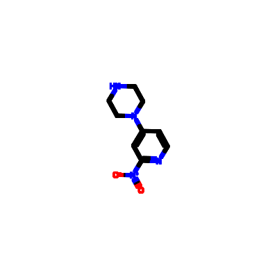 O=[N+]([O-])c1cc(N2CCNCC2)ccn1